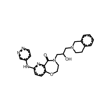 O=C1c2nc(Nc3ccnnc3)ccc2OCCN1CC(O)CN1CCc2ccccc2C1